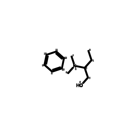 CCC(CO)N(C)C.c1ccccc1